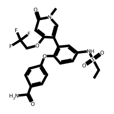 CCS(=O)(=O)Nc1ccc(Oc2ccc(C(N)=O)cc2)c(-c2cn(C)c(=O)cc2OCC(F)(F)F)c1